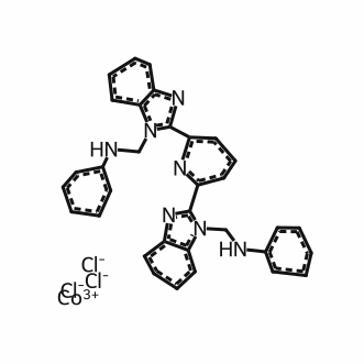 [Cl-].[Cl-].[Cl-].[Co+3].c1ccc(NCn2c(-c3cccc(-c4nc5ccccc5n4CNc4ccccc4)n3)nc3ccccc32)cc1